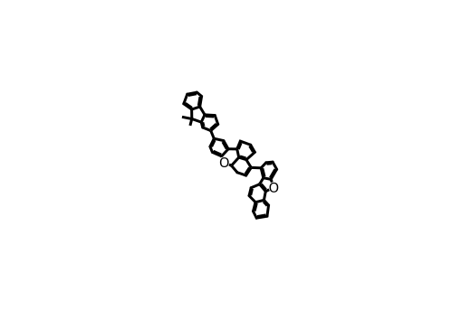 CC1(C)c2ccccc2-c2ccc(-c3ccc4c(c3)-c3cccc5c3C(CC=C5c3cccc5oc6c7ccccc7ccc6c35)O4)cc21